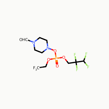 O=CN1CCN(OP(=O)(OCC(F)(F)F)OCC(F)(F)C(F)F)CC1